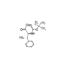 CC(C)(C)OC(=O)N[C@H](C(=O)O)[C@@H](S)c1ccccc1